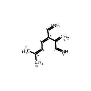 C=C(C=N)/C(C=N)=C\C=C(C)C